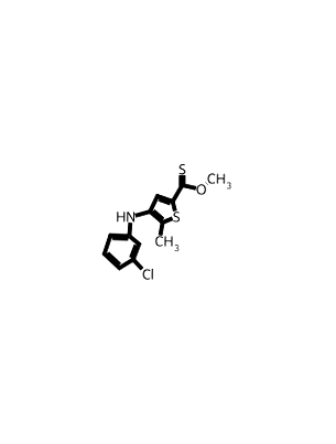 COC(=S)c1cc(Nc2cccc(Cl)c2)c(C)s1